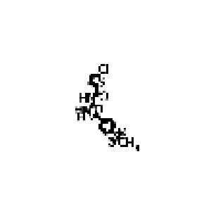 CS(=O)(=O)c1ccc(C2NNC(NC(=O)c3ccc(Cl)s3)O2)cc1